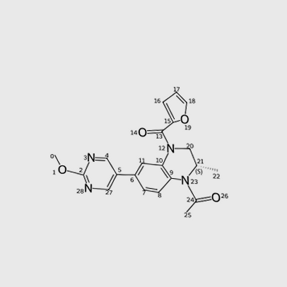 COc1ncc(-c2ccc3c(c2)N(C(=O)c2ccco2)C[C@H](C)N3C(C)=O)cn1